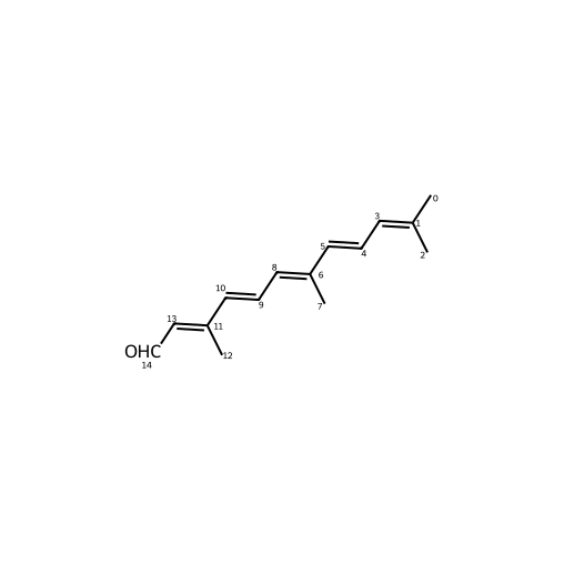 CC(C)=C/C=C/C(C)=C/C=C/C(C)=C/C=O